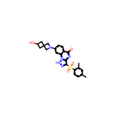 Cc1ccc(S(=O)(=O)c2n[nH]n3c2nc(=O)c2ccc(N4CC5(CC(O)C5)C4)cc23)c(C)c1